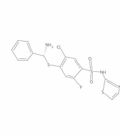 N[C@H](Sc1cc(F)c(S(=O)(=O)Nc2nccs2)cc1Cl)c1ccccc1